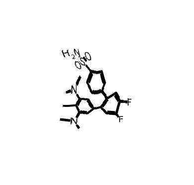 Cc1c(N(C)C)cc(-c2cc(F)c(F)cc2-c2ccc(S(N)(=O)=O)cc2)cc1N(C)C